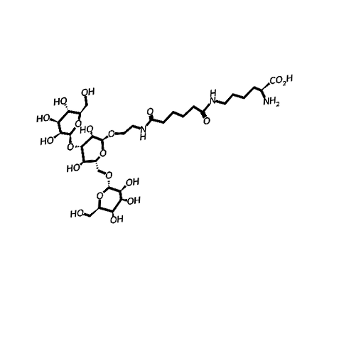 N[C@@H](CCCCNC(=O)CCCCC(=O)NCCO[C@H]1O[C@H](CO[C@H]2O[C@H](CO)[C@@H](O)[C@H](O)[C@@H]2O)[C@@H](O)[C@H](O[C@@H]2O[C@H](CO)[C@@H](O)[C@H](O)[C@@H]2O)[C@@H]1O)C(=O)O